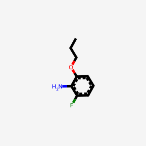 CCCOc1cccc(F)c1N